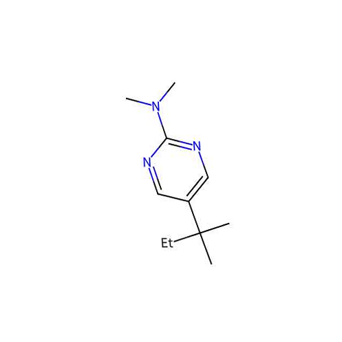 CCC(C)(C)c1cnc(N(C)C)nc1